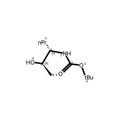 CCC[C@H](NC(=O)OC(C)(C)C)[C@@H](C)O